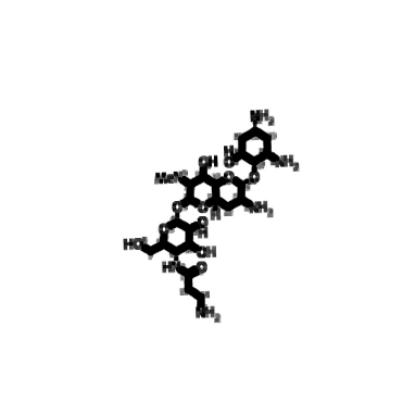 CNC1C(O[C@H]2OC(CO)[C@@H](NC(=O)CCN)C(O)C2O)O[C@H]2CC(N)[C@@H](O[C@@H]3C(N)C[C@@H](N)CC3O)OC2C1O